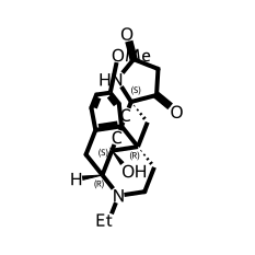 CCN1CC[C@]23C[C@]4(CC[C@@]2(O)[C@H]1Cc1ccc(OC)cc13)NC(=O)CC4=O